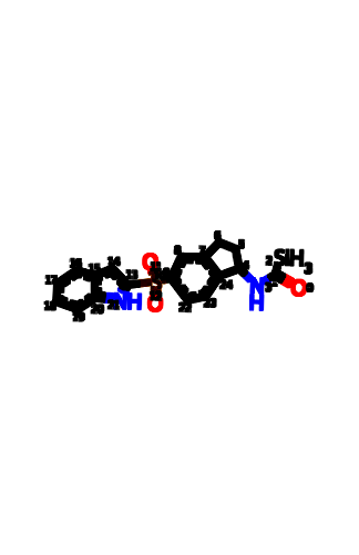 O=C([SiH3])NC1CCc2cc(S(=O)(=O)c3cc4ccccc4[nH]3)ccc21